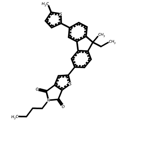 CCCCN1C(=O)c2cc(-c3ccc4c(c3)-c3cc(-c5ccc(C)s5)ccc3C4(C)CC)sc2C1=O